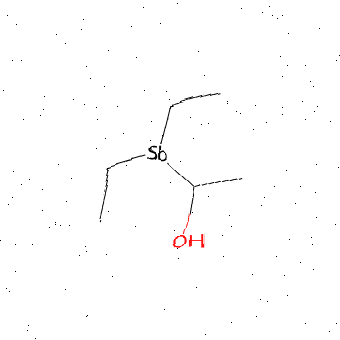 C[CH2][Sb]([CH2]C)[CH](C)O